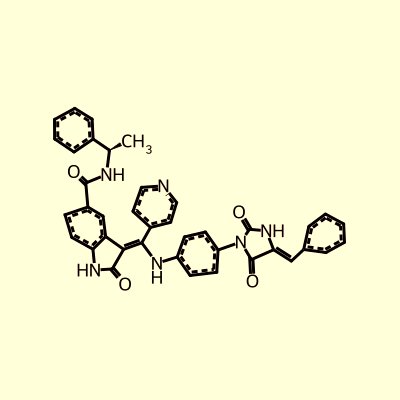 C[C@@H](NC(=O)c1ccc2c(c1)/C(=C(/Nc1ccc(N3C(=O)N/C(=C\c4ccccc4)C3=O)cc1)c1ccncc1)C(=O)N2)c1ccccc1